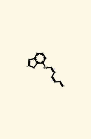 C=C/C=C\C=C/Nc1cccc2c1CC=C2